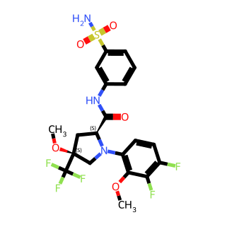 COc1c(N2C[C@](OC)(C(F)(F)F)C[C@H]2C(=O)Nc2cccc(S(N)(=O)=O)c2)ccc(F)c1F